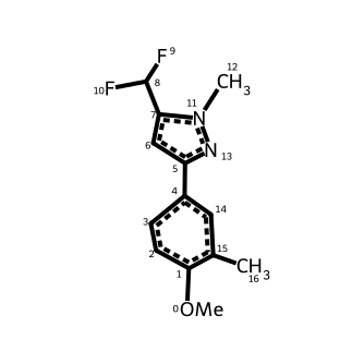 COc1ccc(-c2cc(C(F)F)n(C)n2)cc1C